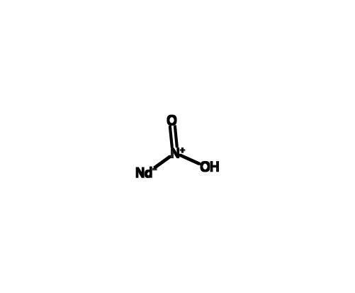 O=[N+](O)[Nd-]